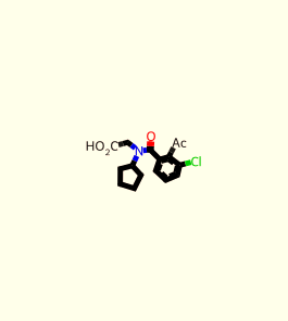 CC(=O)c1c(Cl)cccc1C(=O)N(CC(=O)O)C1CCCC1